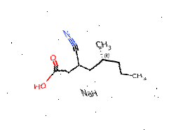 CCC[C@@H](C)CC(C#N)CC(=O)O.[NaH]